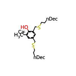 CCCCCCCCCCCCSCc1cc(C)c(O)c(CSCCCCCCCCCCCC)c1.[Ca]